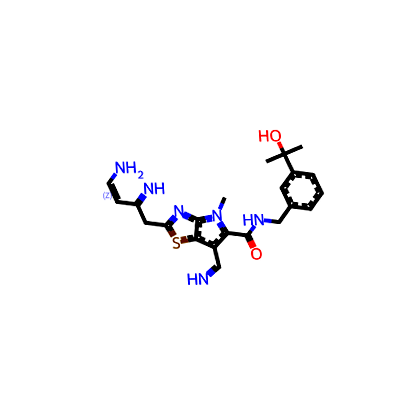 Cn1c(C(=O)NCc2cccc(C(C)(C)O)c2)c(C=N)c2sc(CC(=N)/C=C\N)nc21